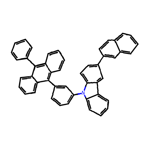 c1ccc(-c2c3ccccc3c(-c3cccc(-n4c5ccccc5c5cc(-c6ccc7ccccc7c6)ccc54)c3)c3ccccc23)cc1